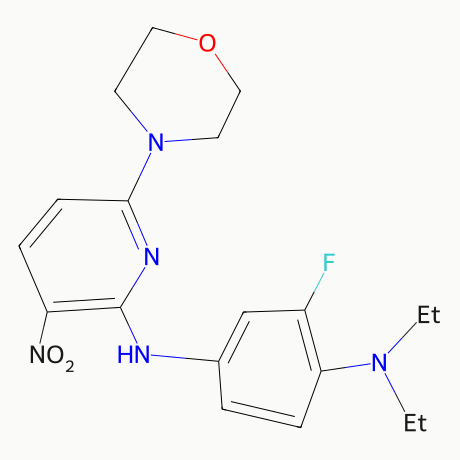 CCN(CC)c1ccc(Nc2nc(N3CCOCC3)ccc2[N+](=O)[O-])cc1F